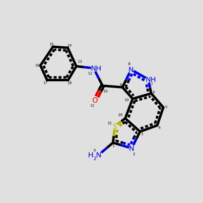 Nc1nc2ccc3[nH]nc(C(=O)Nc4ccccc4)c3c2s1